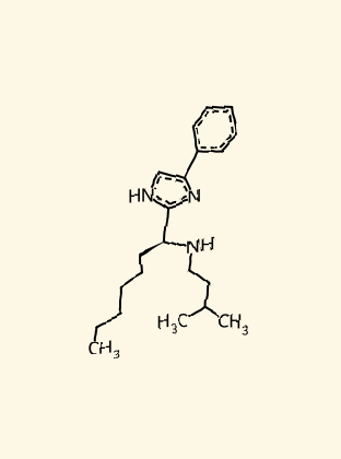 CCCCCC[C@H](NCCC(C)C)c1nc(-c2ccccc2)c[nH]1